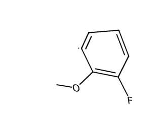 COc1[c]cccc1F